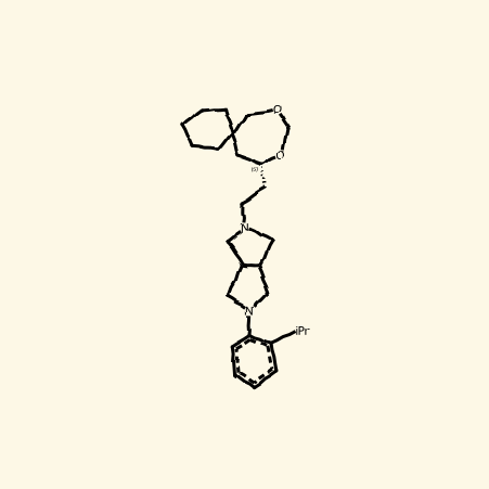 CC(C)c1ccccc1N1CC2CN(CC[C@@H]3CC4(CCCCC4)COCO3)CC2C1